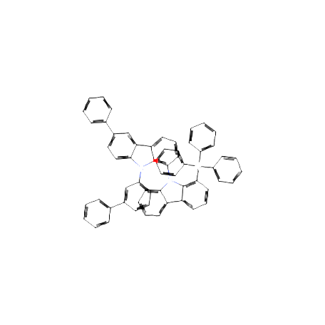 c1ccc(-c2cccc(-n3c4ccc(-c5ccccc5)cc4c4cccc(-n5c6ccccc6c6cccc([Si](c7ccccc7)(c7ccccc7)c7ccccc7)c65)c43)c2)cc1